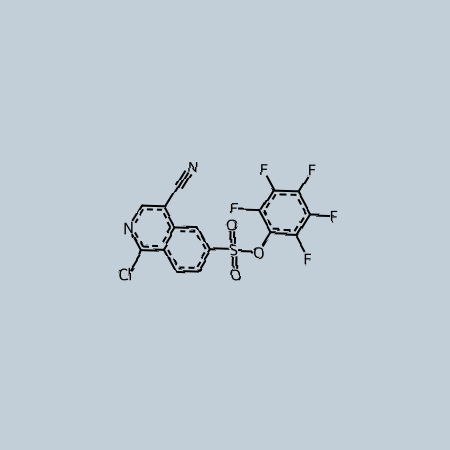 N#Cc1cnc(Cl)c2ccc(S(=O)(=O)Oc3c(F)c(F)c(F)c(F)c3F)cc12